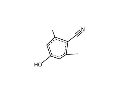 Cc1cc(O)cc(C)c1C#N